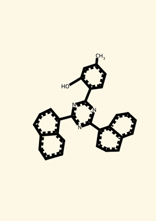 Cc1ccc(-c2nc(-c3cccc4ccccc34)nc(-c3cccc4ccccc34)n2)c(O)c1